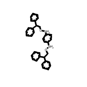 c1ccc(C(CO[SiH2]c2ccc([SiH2]OCC(c3ccccc3)c3ccccc3)cc2)c2ccccc2)cc1